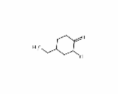 CCC1CCC(=O)C(Cl)C1